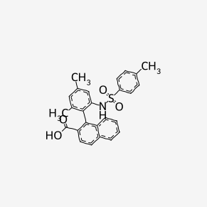 Cc1ccc(S(=O)(=O)Nc2cc(C)cc(C)c2-c2c(C(=O)O)ccc3ccccc23)cc1